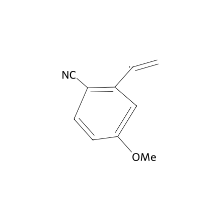 C=[C]c1cc(OC)ccc1C#N